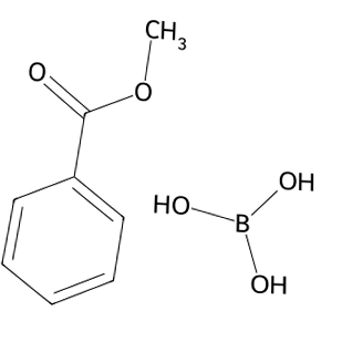 COC(=O)c1ccccc1.OB(O)O